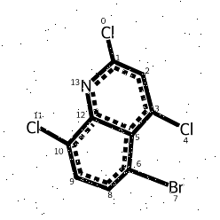 Clc1cc(Cl)c2c(Br)ccc(Cl)c2n1